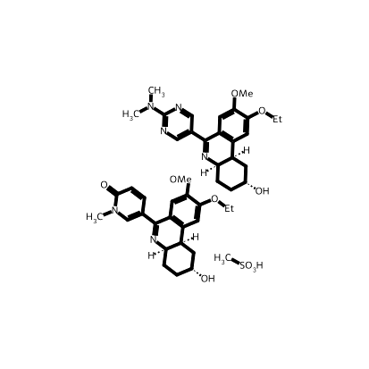 CCOc1cc2c(cc1OC)C(c1ccc(=O)n(C)c1)=N[C@@H]1CC[C@@H](O)C[C@H]21.CCOc1cc2c(cc1OC)C(c1cnc(N(C)C)nc1)=N[C@@H]1CC[C@@H](O)C[C@H]21.CS(=O)(=O)O